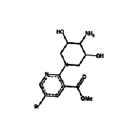 COC(=O)c1cc(Br)cnc1N1CC(O)C(N)C(O)C1